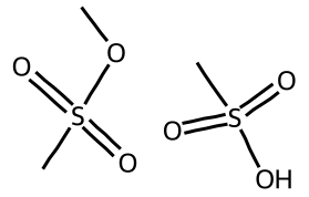 COS(C)(=O)=O.CS(=O)(=O)O